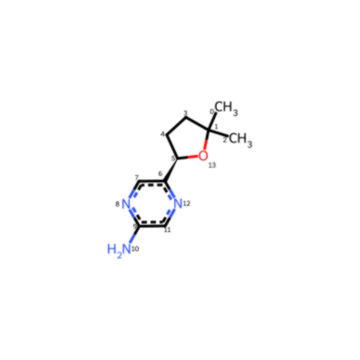 CC1(C)CC[C@H](c2cnc(N)cn2)O1